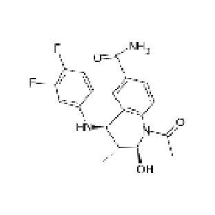 CC(=O)N1c2ccc(C(N)=O)cc2[C@H](Nc2ccc(F)c(F)c2)[C@@H](C)[C@@H]1O